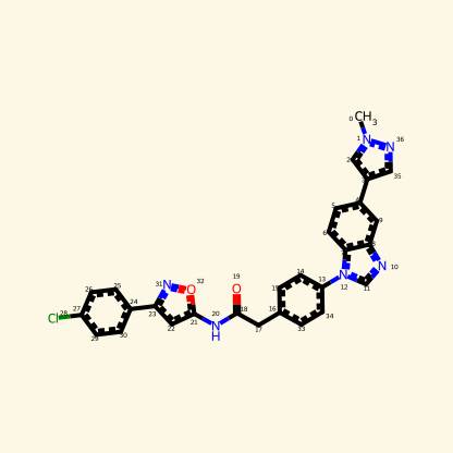 Cn1cc(-c2ccc3c(c2)ncn3-c2ccc(CC(=O)Nc3cc(-c4ccc(Cl)cc4)no3)cc2)cn1